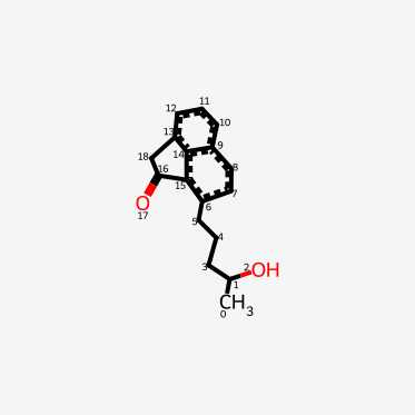 CC(O)CCCc1ccc2cccc3c2c1C(=O)C3